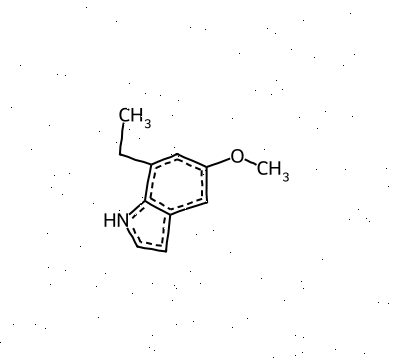 CCc1cc(OC)cc2cc[nH]c12